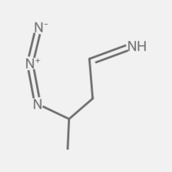 CC(CC=N)N=[N+]=[N-]